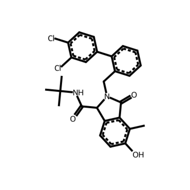 Cc1c(O)ccc2c1C(=O)N(Cc1ccccc1-c1ccc(Cl)c(Cl)c1)C2C(=O)NC(C)(C)C